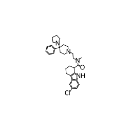 CN(CCN1CCC(c2ccccc2)(N2CCCC2)CC1)C(=O)C1CCCc2c1[nH]c1ccc(Cl)cc21